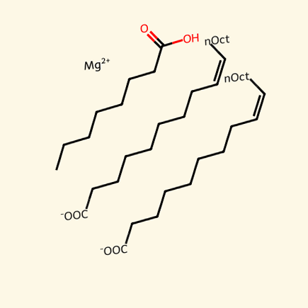 CCCCCCCC(=O)O.CCCCCCCC/C=C\CCCCCCCC(=O)[O-].CCCCCCCC/C=C\CCCCCCCC(=O)[O-].[Mg+2]